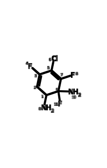 NC1C=C(F)C(Cl)=C(F)C1(N)F